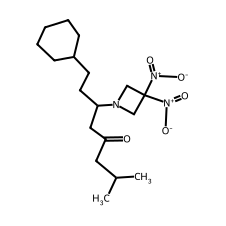 CC(C)CC(=O)CC(CCC1CCCCC1)N1CC([N+](=O)[O-])([N+](=O)[O-])C1